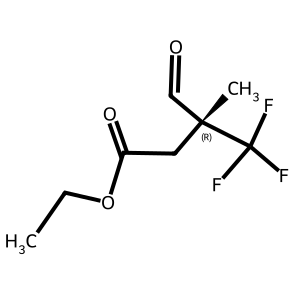 CCOC(=O)C[C@](C)(C=O)C(F)(F)F